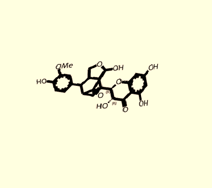 COc1cc(C2C3C=C([C@H]4Oc5cc(O)cc(O)c5C(=O)[C@@H]4O)C4C2COC4(O)C3=O)ccc1O